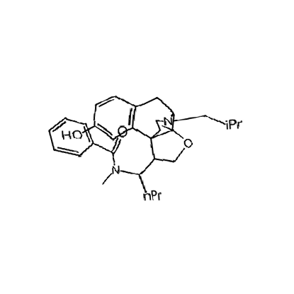 CCCC(C1COC2(C)C3Cc4ccc(O)cc4C12CCN3CC(C)C)N(C)C(=O)c1ccccc1